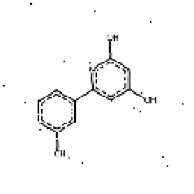 Cc1cccc(-c2cc(O)cc(O)n2)c1